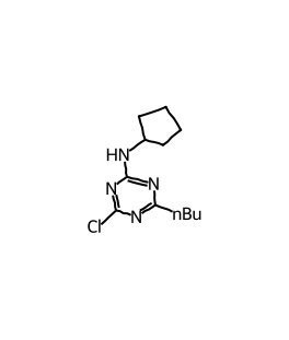 CCCCc1nc(Cl)nc(NC2CCCC2)n1